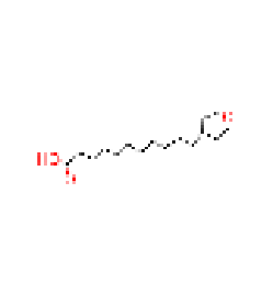 O=C(O)CCCCCCCCCCC1CCOCC1